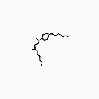 CCCCCCC(C)CCN(C)C1CCN(CCCCCC)CC1